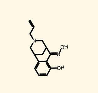 C=CCN1CC2CC(C1)c1cccc(O)c1C2=NO